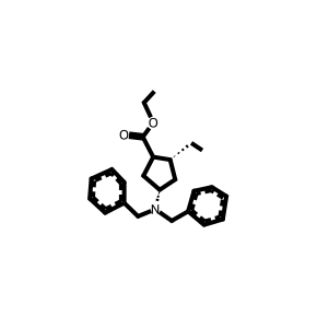 CCOC(=O)C1C[C@@H](N(Cc2ccccc2)Cc2ccccc2)C[C@H]1CC